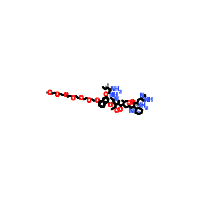 CC[C@H](C)[C@H](N)C(=O)NCc1ncc(C(=O)C(CC(O)C(N)C(C(=O)[C@@H](N)Cc2c[nH]cn2)C2CCCCC2)C(C)C)c(C(C)=O)c1Oc1cccc2c(OCCOCCOCCOCCOCCOCCOC)cccc12